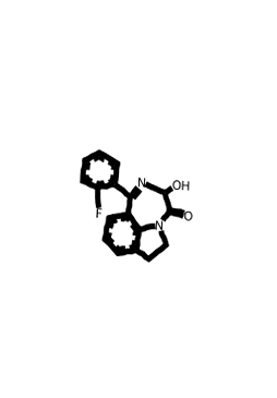 O=C1C(O)N=C(c2ccccc2F)c2cccc3c2N1CC3